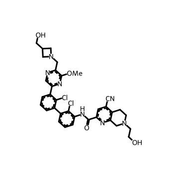 COc1nc(-c2cccc(-c3cccc(NC(=O)c4cc(C#N)c5c(n4)CN(CCO)CC5)c3Cl)c2Cl)cnc1CN1CC(CO)C1